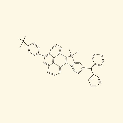 CC(C)(C)c1ccc(-c2cc3cccc4c5c(c6cccc2c6c34)[Si](C)(C)c2cc(N(c3ccccc3)c3ccccc3)ccc2-5)cc1